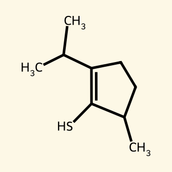 CC(C)C1=C(S)C(C)CC1